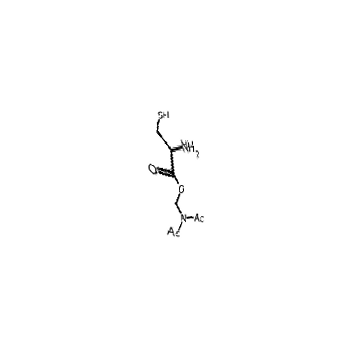 CC(=O)N(COC(=O)C(N)CS)C(C)=O